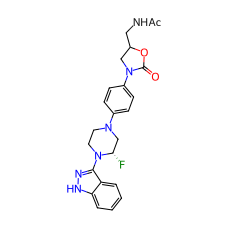 CC(=O)NCC1CN(c2ccc(N3CCN(c4n[nH]c5ccccc45)[C@@H](F)C3)cc2)C(=O)O1